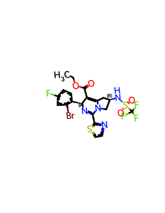 CCOC(=O)C1=C2C[C@@H](NS(=O)(=O)C(F)(F)F)CN2C(c2nccs2)=N[C@H]1c1ccc(F)cc1Br